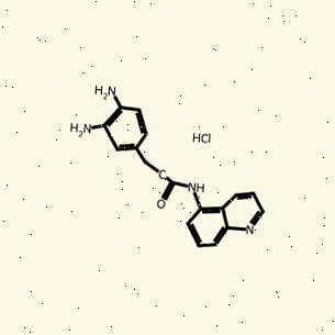 Cl.Nc1ccc(CCC(=O)Nc2cccc3ncccc23)cc1N